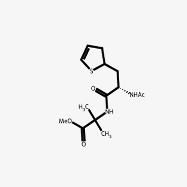 COC(=O)C(C)(C)NC(=O)[C@H](CC1CC=CS1)NC(C)=O